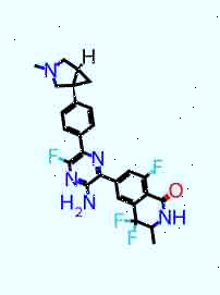 CC1NC(=O)c2c(F)cc(-c3nc(-c4ccc([C@]56C[C@H]5CN(C)C6)cc4)c(F)nc3N)cc2C1(F)F